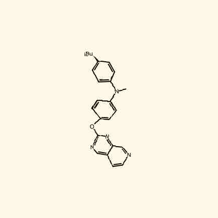 CC[C@H](C)c1ccc(N(C)c2ccc(Oc3ncc4ccncc4n3)cc2)cc1